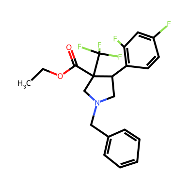 CCOC(=O)C1(C(F)(F)F)CN(Cc2ccccc2)CC1c1ccc(F)cc1F